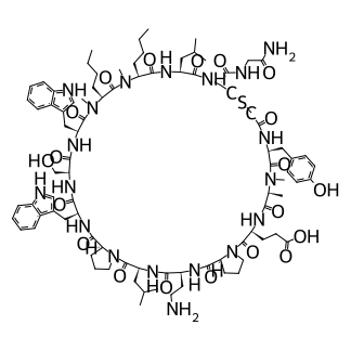 CCCC[C@H]1C(=O)N(C)[C@@H](CCCC)C(=O)N[C@@H](CC(C)C)C(=O)N[C@H](C(=O)NCC(N)=O)CSCC(=O)N[C@@H](Cc2ccc(O)cc2)C(=O)N(C)[C@@H](C)C(=O)N[C@@H](CCC(=O)O)C(=O)N2CCC[C@H]2C(=O)N[C@@H](CCN)C(=O)N[C@@H](CC(C)C)C(=O)N2CCC[C@H]2C(=O)N[C@@H](Cc2c[nH]c3ccccc23)C(=O)N[C@@H](CO)C(=O)N[C@@H](Cc2c[nH]c3ccccc23)C(=O)N1C